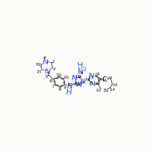 CN1CCN(Cc2ccc(Nc3nc(N)n(-c4ncc5c(n4)CCCCCC5)n3)cc2)CC1